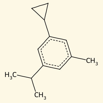 Cc1cc(C(C)C)cc(C2CC2)c1